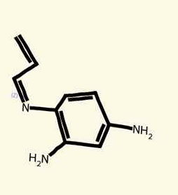 C=C/C=N\c1ccc(N)cc1N